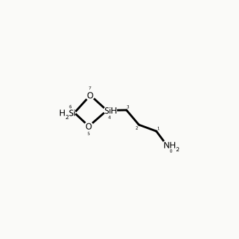 NCCC[SiH]1O[SiH2]O1